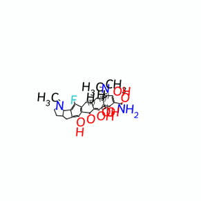 CCN1CCC2Cc3c(O)c4c(c(F)c3C21)C[C@H]1C[C@H]2[C@H](N(C)C)C(O)=C(C(N)=O)C(=O)[C@@]2(O)C(O)=C1C4=O